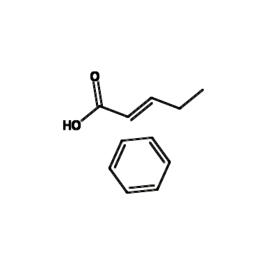 CCC=CC(=O)O.c1ccccc1